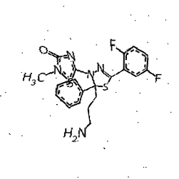 Cn1sc(N2N=C(c3cc(F)ccc3F)SC2(CCCN)c2ccccc2)nc1=O